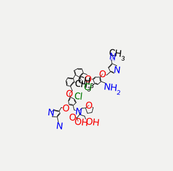 C/N=C/c1cncc(COc2cc(OCc3cccc(-c4cccc(COc5cc(OCc6cncc(C#N)c6)c(CN(CC6CCCO6)C(CCO)C(=O)O)cc5Cl)c4C)c3C)c(Cl)cc2CN)c1